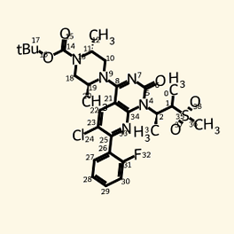 CC([C@@H](C)n1c(=O)nc(N2C[C@@H](C)N(C(=O)OC(C)(C)C)C[C@@H]2C)c2cc(Cl)c(-c3ccccc3F)nc21)S(C)(=O)=O